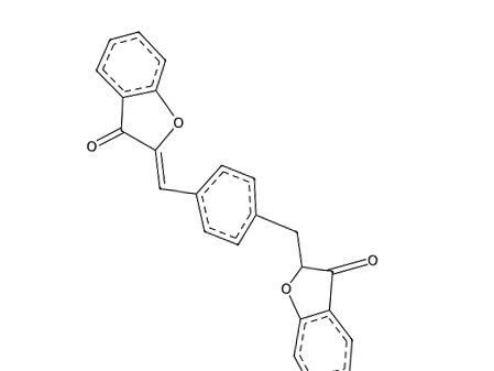 O=C1/C(=C/c2ccc(CC3Oc4ccccc4C3=O)cc2)Oc2ccccc21